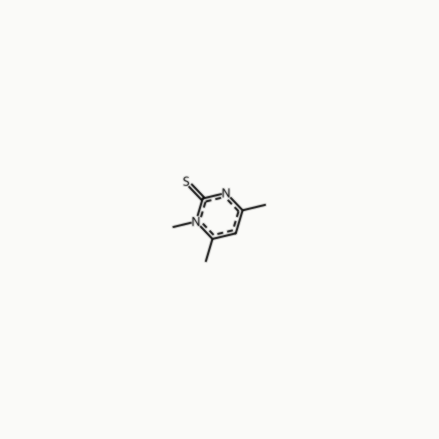 Cc1cc(C)n(C)c(=S)n1